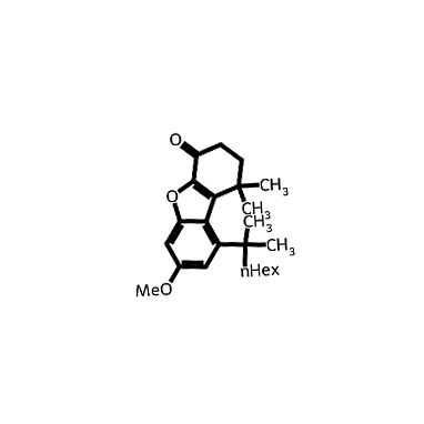 CCCCCCC(C)(C)c1cc(OC)cc2oc3c(c12)C(C)(C)CCC3=O